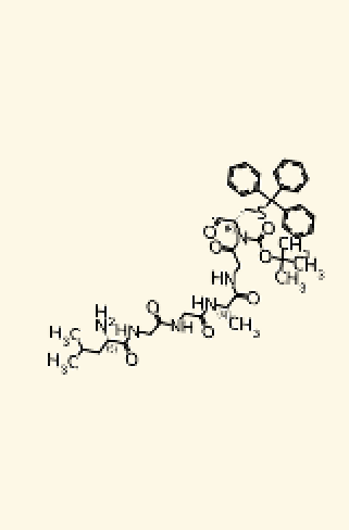 CC(C)C[C@H](N)C(=O)NCC(=O)NCC(=O)N[C@@H](C)C(=O)NCC(=O)N(C(=O)OC(C)(C)C)[C@H]([C]=O)CSC(c1ccccc1)(c1ccccc1)c1ccccc1